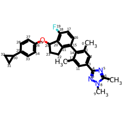 Cc1cc(-c2nc(C)n(C)n2)cc(C)c1-c1ccc(F)c2c1CCC2Oc1ccc(C2CC2)cc1